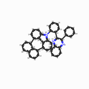 c1ccc(-c2nc3ccccc3nc2-c2ccccc2-n2c3cccc4c3c3c(cccc32)-c2cccc3cccc-4c23)cc1